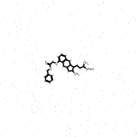 CCCCCC(C)CCC1C(C)CC2Cc3c(cccc3OCC(=O)OCc3ccccc3)CC21